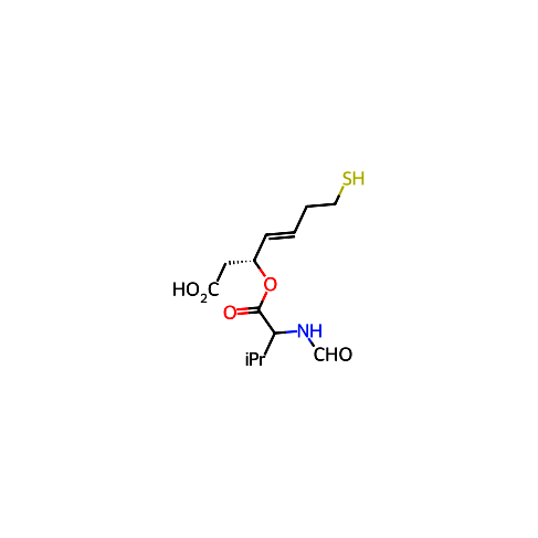 CC(C)C(NC=O)C(=O)O[C@@H](/C=C/CCS)CC(=O)O